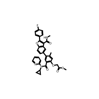 CNC(=O)c1c(-c2ccc(F)cc2)oc2ccc(-c3cc(C(=O)N(c4ccccn4)C4CC4)c(OCC(=O)OC)cc3C)cc12